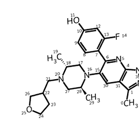 Cc1n[nH]c2nc(-c3ccc(O)cc3F)c(N3C[C@@H](C)N(CC4CCOC4)C[C@@H]3C)[c]c12